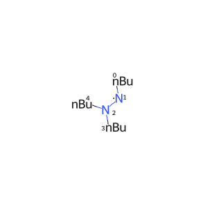 CCCC[N]N(CCCC)CCCC